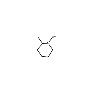 CC(C)N1CCCCC1C